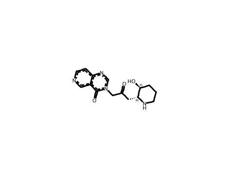 O=C(C[C@H]1NCCC[C@@H]1O)Cn1cnc2ccncc2c1=O